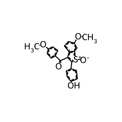 COc1ccc(C(=O)c2c(-c3ccc(O)cc3)[s+]([O-])c3cc(OC)ccc23)cc1